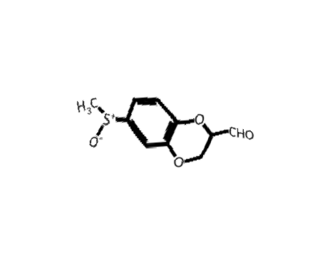 C[S+]([O-])c1ccc2c(c1)OCC(C=O)O2